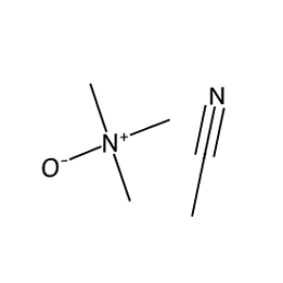 CC#N.C[N+](C)(C)[O-]